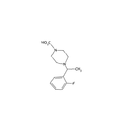 CC(c1ccccc1F)N1CCN(C(=O)O)CC1